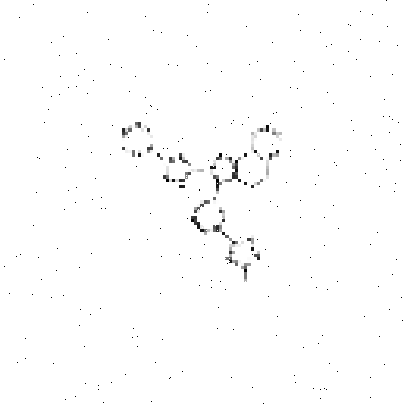 c1ccc(-c2cc(-c3cc4c(n3-c3cccc(-c5nn[nH]n5)c3)CCc3ccccc3-4)on2)cc1